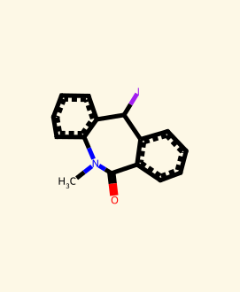 CN1C(=O)c2ccccc2C(I)c2ccccc21